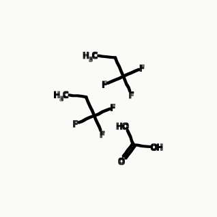 CCC(F)(F)F.CCC(F)(F)F.O=C(O)O